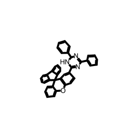 c1ccc(C2=NC(c3ccccc3)NC(c3ccc4c(c3)C3(c5ccccc5O4)c4ccccc4-c4ccccc43)=N2)cc1